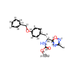 Cc1noc([C@@H](Cc2ccc(OCc3ccccc3)cc2)NC(=O)OC(C)(C)C)n1